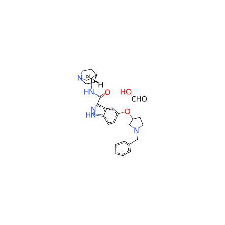 O=C(N[C@@H]1CN2CCC1CC2)c1n[nH]c2ccc(OC3CCN(Cc4ccccc4)C3)cc12.O=CO